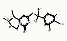 [2H]C([2H])(Oc1cc2n(c(=O)n1)CC[C@@H](C)N2C)c1cc(F)c(F)c(F)c1